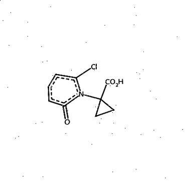 O=C(O)C1(n2c(Cl)cccc2=O)CC1